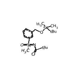 CC(C)(C)C(=O)N=[S@@](C)(=O)c1cccc(CO[Si](C)(C)C(C)(C)C)c1